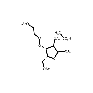 CC(=O)O.COCCOO[C@H]1[C@@H](COC(C)=O)OC(OC(C)=O)[C@@H]1OC(C)=O